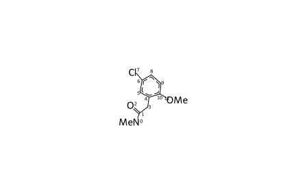 CNC(=O)Cc1cc(Cl)ccc1OC